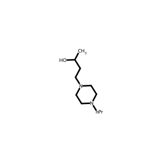 CCCN1CCN(CCC(C)O)CC1